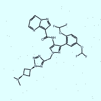 CN(C)[C@H]1C[C@@H](n2nnc(Cn3cc(NC(=O)c4cnn5cccnc45)c(-c4cc(OC(F)F)ccc4OC(F)F)n3)n2)C1